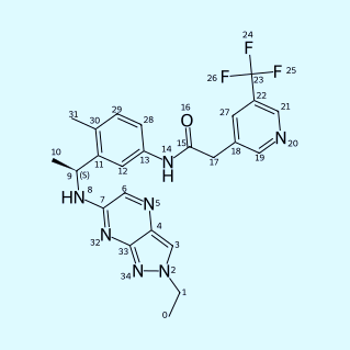 CCn1cc2ncc(N[C@@H](C)c3cc(NC(=O)Cc4cncc(C(F)(F)F)c4)ccc3C)nc2n1